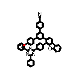 N#Cc1ccc(-c2cc(-c3ccc(C#N)cc3)cc(-c3ccc4c(oc5ccccc54)c3-c3ccc(-c4nc(-c5ccccc5)nc(-c5ccccc5)n4)cc3)c2)cc1